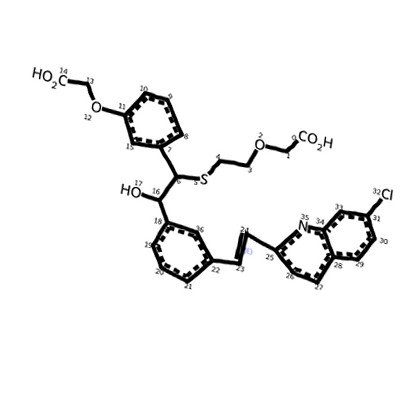 O=C(O)COCCSC(c1cccc(OCC(=O)O)c1)C(O)c1cccc(/C=C/c2ccc3ccc(Cl)cc3n2)c1